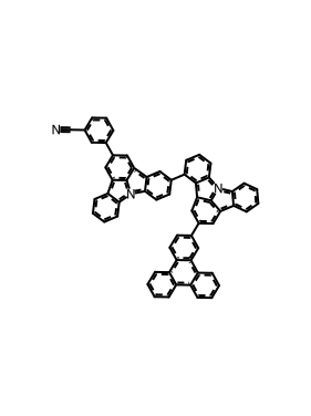 N#Cc1cccc(-c2cc3c4ccccc4n4c5ccc(-c6cccc7c6c6cc(-c8ccc9c%10ccccc%10c%10ccccc%10c9c8)cc8c9ccccc9n7c86)cc5c(c2)c34)c1